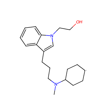 CN(CCCc1cn(CCO)c2ccccc12)C1CC[CH]CC1